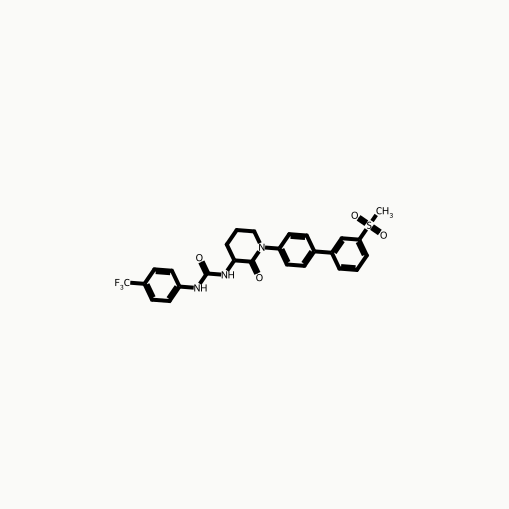 CS(=O)(=O)c1cccc(-c2ccc(N3CCCC(NC(=O)Nc4ccc(C(F)(F)F)cc4)C3=O)cc2)c1